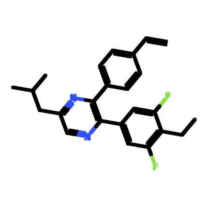 C=Cc1ccc(-c2nc(CC(C)C)cnc2-c2cc(F)c(CC)c(F)c2)cc1